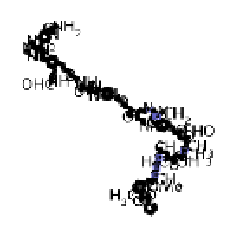 C=N/C=C(\C=N/CCN(CCNC)C(=O)CCOCCN1CCN(c2ncc(C(=O)NCCOCCCc3ccc(Cn4nc(-c5ccc6oc(N)nc6c5)c5c(N)ncnc54)cc3CCNC=O)cn2)CC1)COC1CCC(CCC(CC(=O)C(C)/C=C(\C)C(O)CC(=O)C(C)CC(C)/C=C/C=C/C=C(\C)C(C[C@@H]2CC[C@@H](C)C(C(=O)C(=O)N3CCCCC3)O2)OC)OC=O)CC1